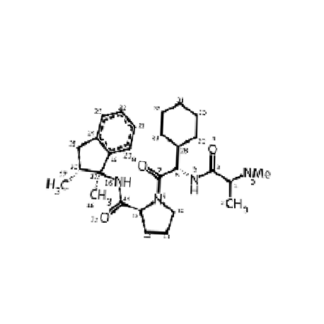 CN[C@@H](C)C(=O)N[C@H](C(=O)N1CCC[C@H]1C(=O)N[C@]1(C)c2ccccc2C[C@H]1C)C1CCCCC1